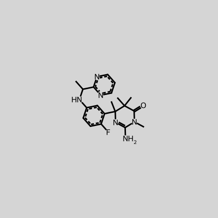 CC(Nc1ccc(F)c(C2(C)N=C(N)N(C)C(=O)C2(C)C)c1)c1ncccn1